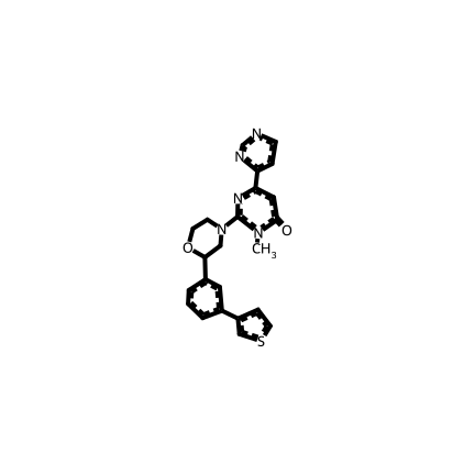 Cn1c(N2CCOC(c3cccc(-c4ccsc4)c3)C2)nc(-c2ccncn2)cc1=O